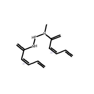 C=C/C=C\C(=C)NPN(C)C(=C)/C=C\C=C